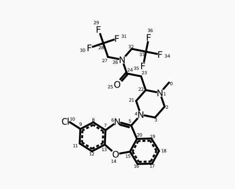 CN1CCN(C2=Nc3cc(Cl)ccc3Oc3ccccc32)CC1CC(=O)N(CC(F)(F)F)CC(F)(F)F